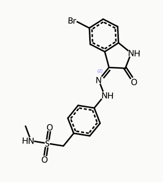 CNS(=O)(=O)Cc1ccc(N/N=C2\C(=O)Nc3ccc(Br)cc32)cc1